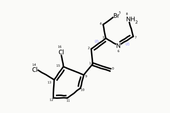 C=C(/C=C(CBr)\N=C/N)c1cccc(Cl)c1Cl